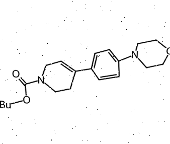 CC(C)(C)OC(=O)N1CC=C(c2ccc(N3CCOCC3)cc2)CC1